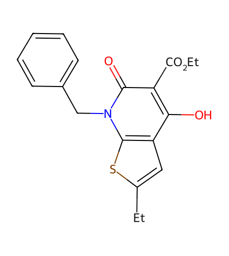 CCOC(=O)c1c(O)c2cc(CC)sc2n(Cc2ccccc2)c1=O